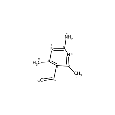 Cc1nc(N)nc(C)c1C=O